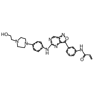 C=CC(=O)Nc1cccc(-c2onc3cnc(Nc4ccc(N5CCN(CCO)CC5)cc4)nc23)c1